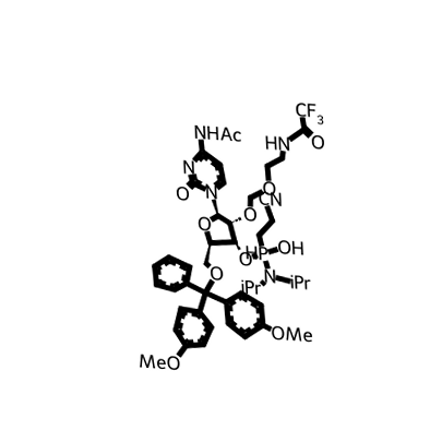 COc1ccc(C(OC[C@H]2O[C@@H](n3ccc(NC(C)=O)nc3=O)[C@H](OCOCCNC(=O)C(F)(F)F)[C@@H]2O[PH](O)(CCC#N)N(C(C)C)C(C)C)(c2ccccc2)c2ccc(OC)cc2)cc1